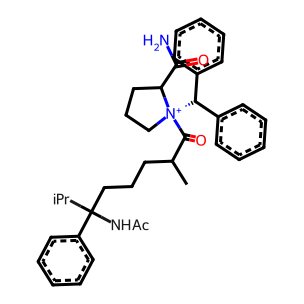 CC(=O)NC(CCCC(C)C(=O)[N@@+]1(C(c2ccccc2)c2ccccc2)CCCC1C(N)=O)(c1ccccc1)C(C)C